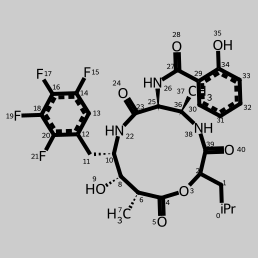 CC(C)CC1OC(=O)[C@H](C)[C@H](O)[C@H](Cc2cc(F)c(F)c(F)c2F)NC(=O)[C@@H](NC(=O)c2ccccc2O)[C@@H](C)NC1=O